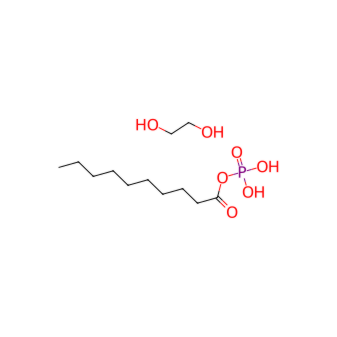 CCCCCCCCCC(=O)OP(=O)(O)O.OCCO